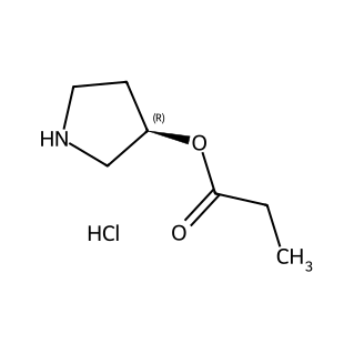 CCC(=O)O[C@@H]1CCNC1.Cl